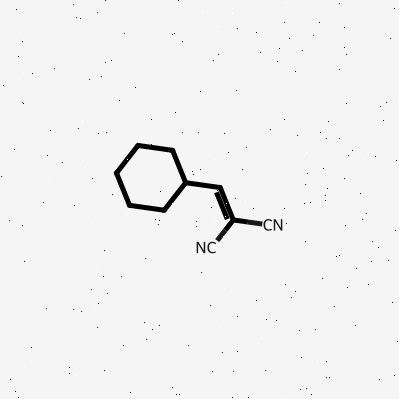 N#CC(C#N)=CC1CCCCC1